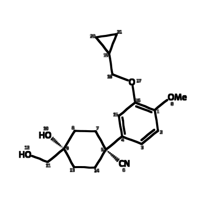 COc1ccc([C@]2(C#N)CC[C@](O)(CO)CC2)cc1OCC1CC1